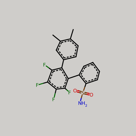 Cc1ccc(-c2c(F)c(F)c(F)c(F)c2-c2ccccc2S(N)(=O)=O)cc1C